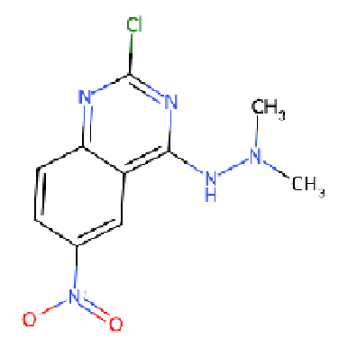 CN(C)Nc1nc(Cl)nc2ccc([N+](=O)[O-])cc12